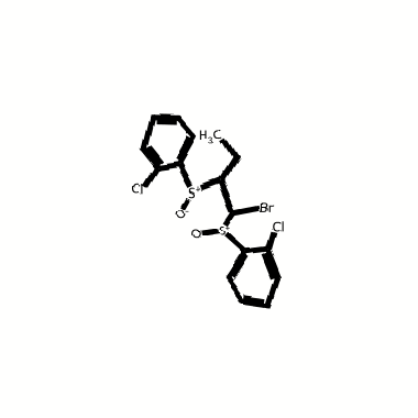 CCC(C(Br)[S+]([O-])c1ccccc1Cl)[S+]([O-])c1ccccc1Cl